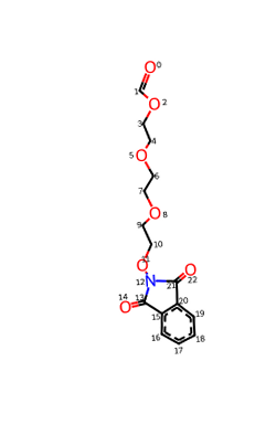 O=COCCOCCOCCON1C(=O)c2ccccc2C1=O